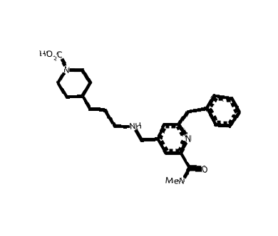 CNC(=O)c1cc(CNCCCC2CCN(C(=O)O)CC2)cc(Cc2ccccc2)n1